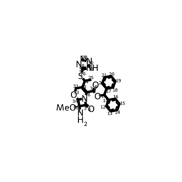 CO[C@@]1(N)C(=O)N2C(C(=O)OC(c3ccccc3)c3ccccc3)=C(C(C)Sc3nnn[nH]3)COC21